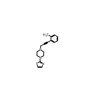 Cc1ccccc1C#CCN1CCN(c2nccs2)CC1